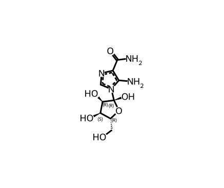 NC(=O)c1ncn([C@]2(O)O[C@H](CO)[C@@H](O)[C@H]2O)c1N